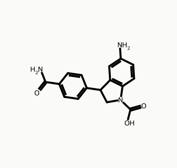 NC(=O)c1ccc(C2CN(C(=O)O)c3ccc(N)cc32)cc1